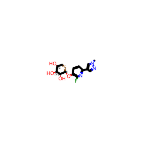 Cn1cc(-c2ccc(O[C@@H]3SC[C@@H](O)[C@H](O)[C@H]3O)c(F)n2)cn1